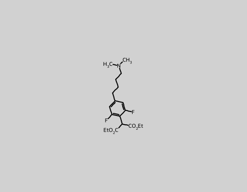 CCOC(=O)C(C(=O)OCC)c1c(F)cc(CCCCN(C)C)cc1F